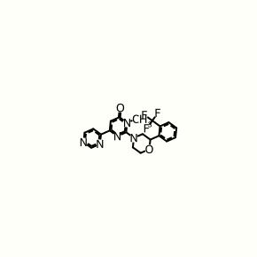 Cn1c(N2CCOC(c3ccccc3C(F)(F)F)C2)nc(-c2ccncn2)cc1=O